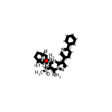 CCC12CC[C@@H](C[C@H](c3nc4c(-c5ccc(-c6ccccc6)nc5)cnn4c(N)c3S(C)(=O)=O)C1)N2C(N)=O